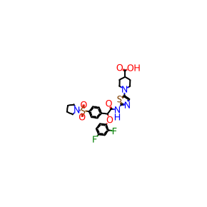 O=C(O)C1CCN(c2cnc(NC(=O)C(Oc3ccc(F)cc3F)c3ccc(S(=O)(=O)N4CCCC4)cc3)s2)CC1